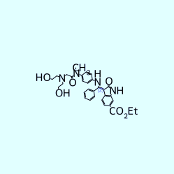 CCOC(=O)c1ccc2c(c1)NC(=O)/C2=C(\Nc1ccc(N(C)C(=O)CN(CCO)CCO)cc1)c1ccccc1